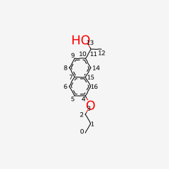 CCCOc1ccc2ccc(C(C)O)cc2c1